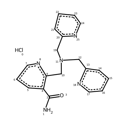 Cl.NC(=O)c1cccnc1CN(Cc1ccccn1)Cc1ccccn1